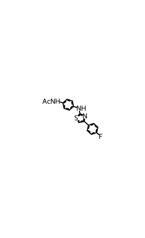 CC(=O)Nc1ccc(Nc2nc(-c3ccc(F)cc3)cs2)cc1